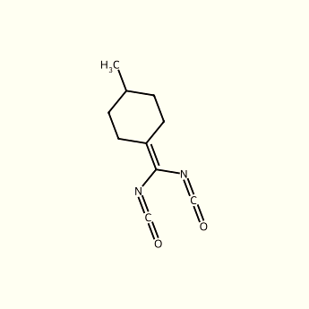 CC1CCC(=C(N=C=O)N=C=O)CC1